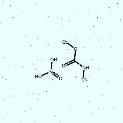 CCOC(=O)NC#N.O=[Si](O)O